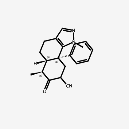 C[C@@H]1C(=O)C(C#N)C[C@]2(c3ccccc3)c3c(cnn3C)CC[C@@H]12